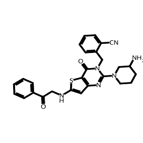 N#Cc1ccccc1Cn1c(N2CCCC(N)C2)nc2cc(NCC(=O)c3ccccc3)sc2c1=O